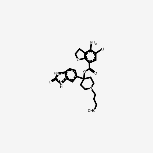 Nc1c(Cl)cc(C(=O)OC2(c3ccc4[nH]c(=O)[nH]c4c3)CCN(CCCC=O)CC2)c2c1CCO2